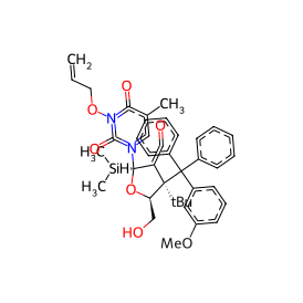 C=CCOn1c(=O)c(C)cn([C@]2([SiH](C)C)O[C@H](CO)[C@](C(C)(C)C)(C(c3ccccc3)(c3ccccc3)c3cccc(OC)c3)C2=C=O)c1=O